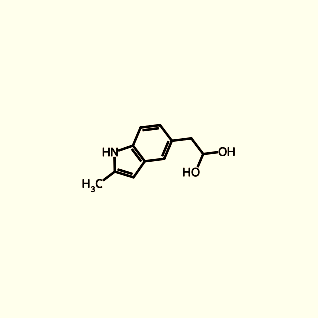 Cc1cc2cc(CC(O)O)ccc2[nH]1